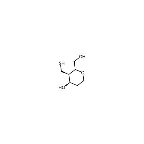 OC[C@H]1OCC[C@@H](O)[C@H]1CS